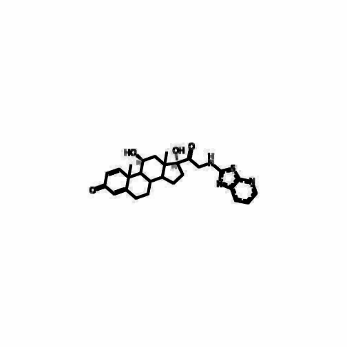 CC12C=CC(=O)C=C1CCC1C2[C@@H](O)CC2(C)C1CC[C@]2(O)C(=O)CNc1nc2cccnc2s1